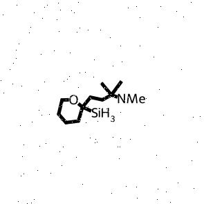 CNC(C)(C)CCC1([SiH3])CCCCO1